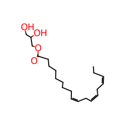 CC/C=C\C/C=C\C/C=C\CCCCCCCC(=O)OCC(O)CO